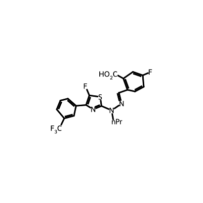 CCCN(/N=C/c1ccc(F)cc1C(=O)O)c1nc(-c2cccc(C(F)(F)F)c2)c(F)s1